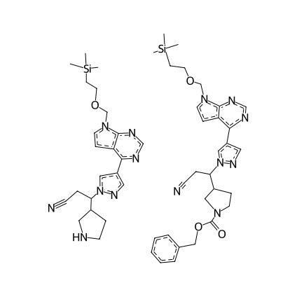 C[Si](C)(C)CCOCn1ccc2c(-c3cnn(C(CC#N)C4CCN(C(=O)OCc5ccccc5)C4)c3)ncnc21.C[Si](C)(C)CCOCn1ccc2c(-c3cnn(C(CC#N)C4CCNC4)c3)ncnc21